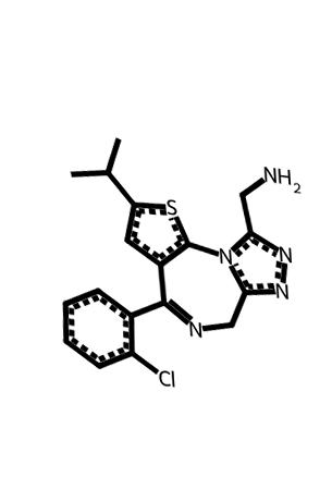 CC(C)c1cc2c(s1)-n1c(CN)nnc1CN=C2c1ccccc1Cl